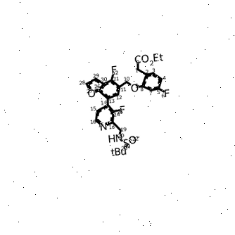 CCOC(=O)Cc1ccc(F)cc1OCc1cc(-c2ccnc(CN[S@@+]([O-])C(C)(C)C)c2F)c2occc2c1F